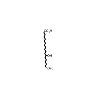 CCCCCCCCCCCCCCCC(O)CCCCCCCCCCCC(=O)O